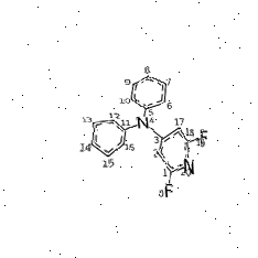 Fc1cc(N(c2ccccc2)c2ccccc2)cc(F)n1